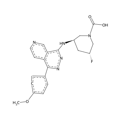 COc1ccc(-c2nnc(N[C@@H]3C[C@@H](F)CN(C(=O)O)C3)c3cnccc23)cc1